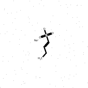 CC/C=C/S(=O)(=O)[O-].[Na+]